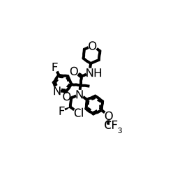 CC(C(=O)NC1CCOCC1)(c1cncc(F)c1)N(C(=O)[C@H](F)Cl)c1ccc(OC(F)(F)F)cc1